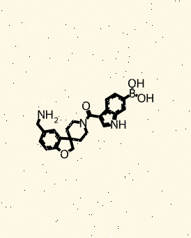 NCc1ccc2c(c1)C1(CCN(C(=O)c3c[nH]c4cc(B(O)O)ccc34)CC1)CO2